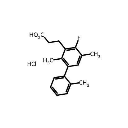 Cc1ccccc1-c1cc(C)c(F)c(CCC(=O)O)c1C.Cl